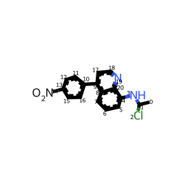 CC(Cl)Nc1cccc2c(-c3ccc([N+](=O)[O-])cc3)ccnc12